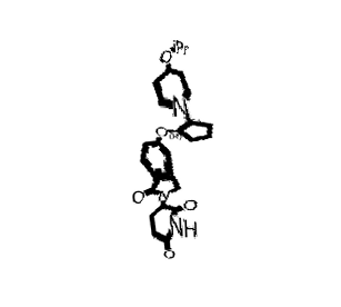 CC(C)OC1CCN([C@H]2CCC[C@H]2Oc2ccc3c(c2)CN(C2CCC(=O)NC2=O)C3=O)CC1